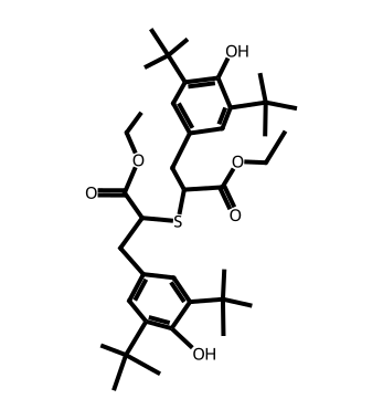 CCOC(=O)C(Cc1cc(C(C)(C)C)c(O)c(C(C)(C)C)c1)SC(Cc1cc(C(C)(C)C)c(O)c(C(C)(C)C)c1)C(=O)OCC